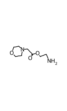 NCCOC(=O)CN1CCOCC1